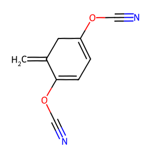 C=C1CC(OC#N)=CC=C1OC#N